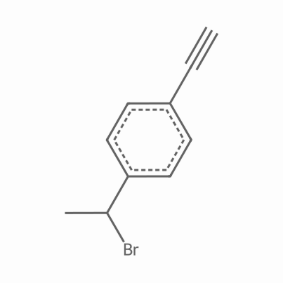 C#Cc1ccc(C(C)Br)cc1